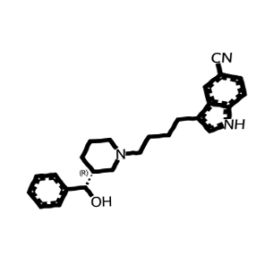 N#Cc1ccc2[nH]cc(CCCCN3CCC[C@@H](C(O)c4ccccc4)C3)c2c1